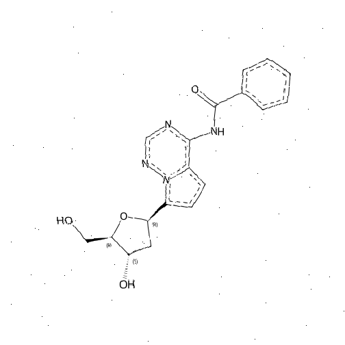 O=C(Nc1ncnn2c([C@H]3C[C@H](O)[C@@H](CO)O3)ccc12)c1ccccc1